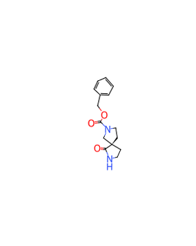 O=C(OCc1ccccc1)N1CC[C@]2(CCNC2=O)C1